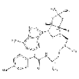 C[C@@H](CCN(C)C[C@H]1OC(n2cnc3c(N)ncnc32)[C@@H]2OC(C)(C)O[C@H]12)NC(=O)Nc1ccc(C(C)(C)C)cc1